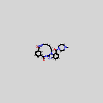 CN1CCCN(C(=O)c2cccc3c2N2CCCCCNC(=O)c4cccc(c4)C(=O)/N=C/2N3)CC1